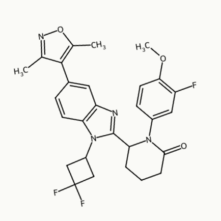 COc1ccc(N2C(=O)CCCC2c2nc3cc(-c4c(C)noc4C)ccc3n2C2CC(F)(F)C2)cc1F